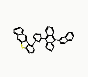 c1cc(-c2c3ccccc3c(-c3ccc4ccccc4c3)c3ccccc23)cc(-c2cccc3sc4cc5ccccc5cc4c23)c1